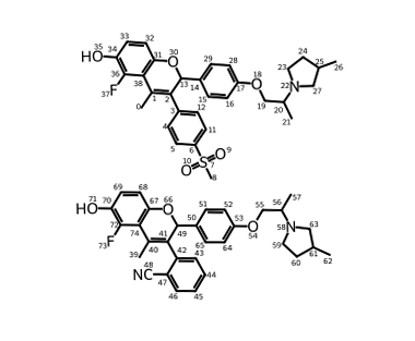 CC1=C(c2ccc(S(C)(=O)=O)cc2)C(c2ccc(OCC(C)N3CCC(C)C3)cc2)Oc2ccc(O)c(F)c21.CC1=C(c2ccccc2C#N)C(c2ccc(OCC(C)N3CCC(C)C3)cc2)Oc2ccc(O)c(F)c21